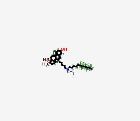 CN(CCCCC[C@@H]1Cc2cc(O)cc(F)c2[C@H]2CC[C@@]3(C)[C@@H](CC[C@]3(C)O)[C@H]12)CCCCCC(F)(F)C(F)(F)C(F)(F)C(F)(F)C(F)(F)F